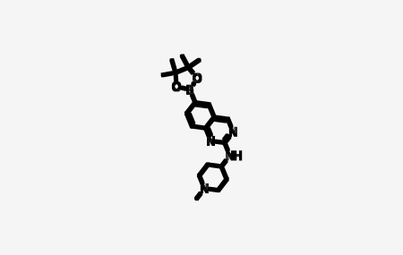 CN1CCC(Nc2ncc3cc(B4OC(C)(C)C(C)(C)O4)ccc3n2)CC1